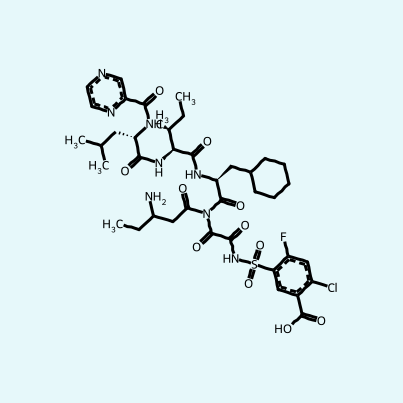 CCC(N)CC(=O)N(C(=O)C(=O)NS(=O)(=O)c1cc(C(=O)O)c(Cl)cc1F)C(=O)[C@H](CC1CCCCC1)NC(=O)[C@@H](NC(=O)[C@H](CC(C)C)NC(=O)c1cnccn1)[C@@H](C)CC